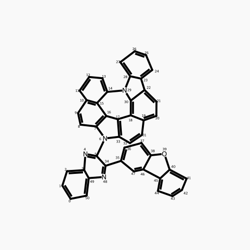 c1ccc2nc(-n3c4ccc5cccc6c5c4c4c5c(ccc7c8ccccc8n6c75)ccc43)c(-c3ccc4oc5ccccc5c4c3)nc2c1